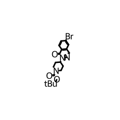 CC(C)(C)OC(=O)N1CCC(n2ncc3cc(Br)ccc3c2=O)CC1